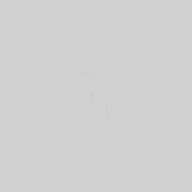 ISC1(SCCN2CCOCC2)CCCC1